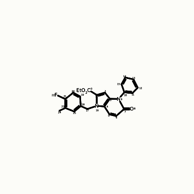 CCOC(=O)c1cc2c(ccc(=O)n2-c2ccccc2)n1Cc1ccc(F)c(C)c1